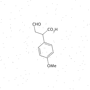 COc1ccc(C(CC=O)C(=O)O)cc1